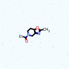 CCC(=O)N1CCc2oc(C)nc2C1